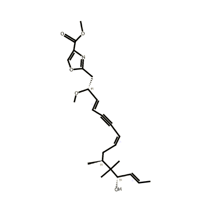 C/C=C/[C@H](O)C(C)(C)[C@@H](C)C/C=C\C#C/C=C/[C@@H](Cc1nc(C(=O)OC)co1)OC